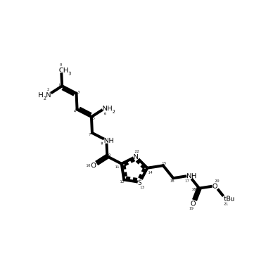 C/C(N)=C/C=C(\N)CNC(=O)c1csc(CCNC(=O)OC(C)(C)C)n1